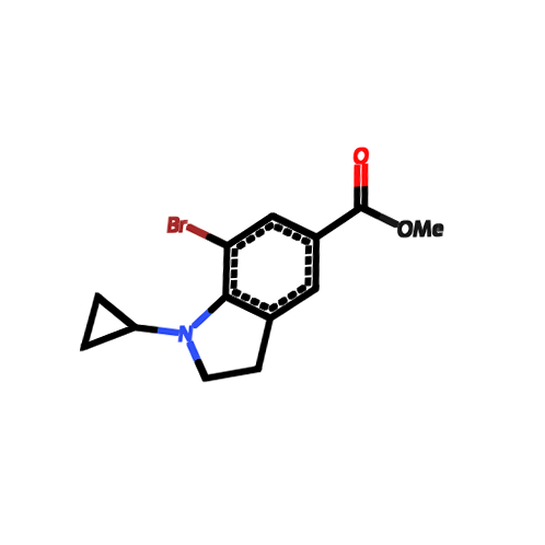 COC(=O)c1cc(Br)c2c(c1)CCN2C1CC1